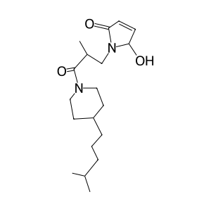 CC(C)CCCC1CCN(C(=O)C(C)CN2C(=O)C=CC2O)CC1